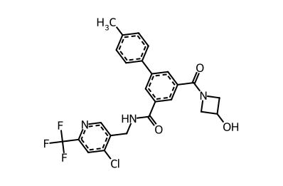 Cc1ccc(-c2cc(C(=O)NCc3cnc(C(F)(F)F)cc3Cl)cc(C(=O)N3CC(O)C3)c2)cc1